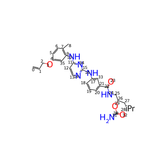 C=CCOc1ccc(C)c(Nc2ccnc(Nc3cccc(C(=O)NCC(CC(C)C)OC(N)=O)c3)n2)c1